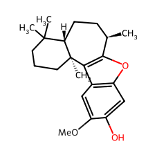 COc1cc2c3c(oc2cc1O)[C@H](C)CC[C@H]1C(C)(C)CCC[C@]31C